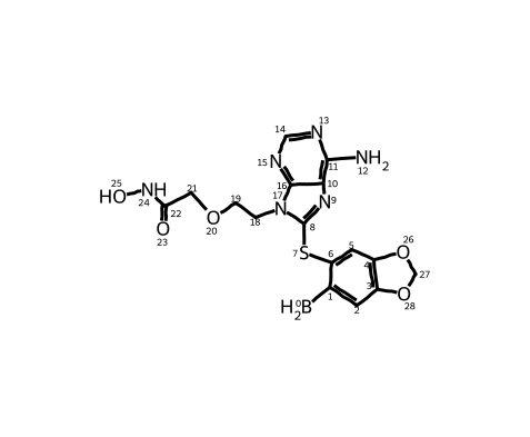 Bc1cc2c(cc1Sc1nc3c(N)ncnc3n1CCOCC(=O)NO)OCO2